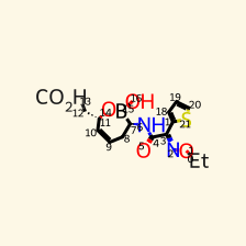 CCO/N=C(/C(=O)N[C@H]1CC=C[C@H](CC(=O)O)OB1O)c1cccs1